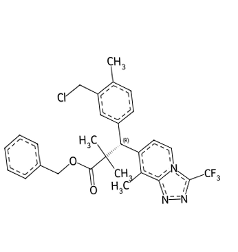 Cc1ccc([C@H](c2ccn3c(C(F)(F)F)nnc3c2C)C(C)(C)C(=O)OCc2ccccc2)cc1CCl